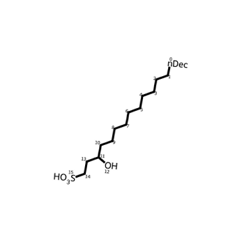 CCCCCCCCCCCCCCCCCCCCC(O)CCS(=O)(=O)O